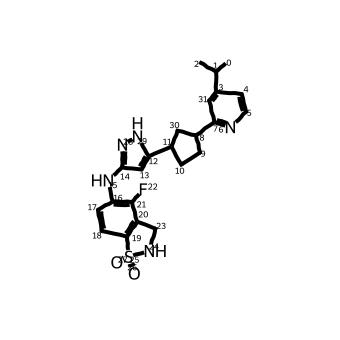 CC(C)c1ccnc(C2CCC(c3cc(Nc4ccc5c(c4F)CNS5(=O)=O)n[nH]3)C2)c1